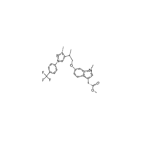 COC(=O)Cc1cn(C)c2cc(OCC(C)c3cn(-c4ccc(C(F)(F)F)cc4)nc3C)ccc12